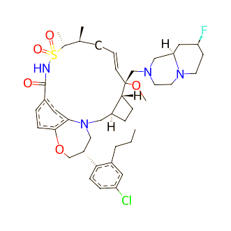 CCCc1cc(Cl)ccc1[C@@H]1COc2ccc3cc2N(C1)C[C@@H]1CC[C@H]1[C@@](CN1CCN2CC[C@H](F)C[C@@H]2C1)(OC)/C=C/C[C@H](C)[C@@H](C)S(=O)(=O)NC3=O